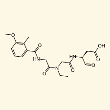 CCN(CC(=O)N[C@H](C=O)CC(=O)O)C(=O)CNC(=O)c1cccc(OC)c1C